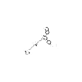 Nc1ccc(-c2cc(-c3ccc4cccnc4c3)c(=O)n(CCCCNC(=O)CCCCCN3C(=O)CCC3=O)n2)cc1